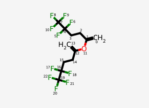 C=C(CCC(F)(F)C(F)(F)F)OC(=C)CCC(F)(F)C(F)(F)F